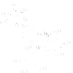 Cc1c(C)c(C)c2c(c1C)Cc1c(C)c(C)c(C)c(C)c1N2c1ccc(B2OC(C)(C)C(C)(C)O2)cc1C#N